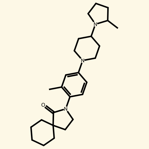 Cc1cc(N2CCC(N3CCCC3C)CC2)ccc1N1CCC2(CCCCC2)C1=O